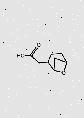 O=C(O)CC1CCC2CC1O2